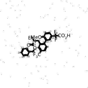 CCN(Cc1cc(C(F)(F)F)ccc1-c1cc(C(F)(F)C(=O)O)ccc1OC)C(=O)OCc1ccccc1